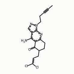 CC#CCCn1ncc2c(N)c3c(nc21)CCC(CC=C(Cl)Cl)C3=O